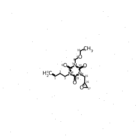 C=CCCn1c(=O)n(COCC)c(=O)n(CC2CO2)c1=O